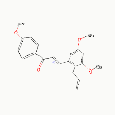 C=CCc1c(/C=C/C(=O)c2ccc(OCCC)cc2)cc(OC(C)(C)C)cc1OC(C)(C)C